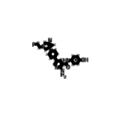 Nc1ncc(-c2ccc([C@]34C[C@H]3CN(CCF)C4)cc2)cc1C(=O)NC12CCC(O)(CC1)CC2